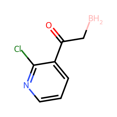 BCC(=O)c1cccnc1Cl